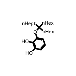 CCCCCCCC(CCCCCC)(CCCCCC)Oc1cccc(O)c1O